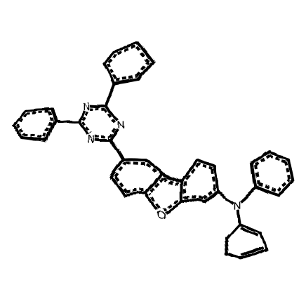 C1=CCCC(N(c2ccccc2)c2ccc3c(c2)oc2ccc(-c4nc(-c5ccccc5)nc(-c5ccccc5)n4)cc23)=C1